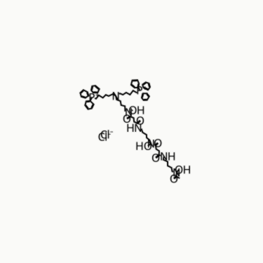 CC(=O)N(O)CCCCCNC(=O)CCC(=O)N(O)CCCCCNC(=O)CCC(=O)N(O)CCCCCN(CCCCCC[P+](c1ccccc1)(c1ccccc1)c1ccccc1)CCCCCC[P+](c1ccccc1)(c1ccccc1)c1ccccc1.[Cl-].[Cl-]